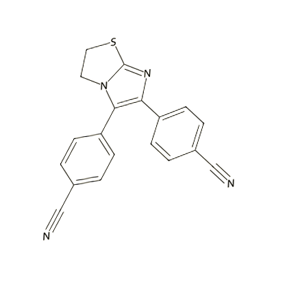 N#Cc1ccc(-c2nc3n(c2-c2ccc(C#N)cc2)CCS3)cc1